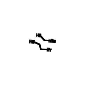 CC(C)CCS.CCCCCS